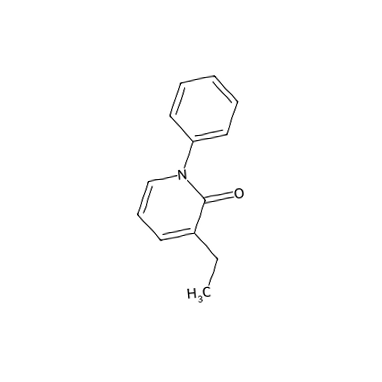 CCc1cccn(-c2ccccc2)c1=O